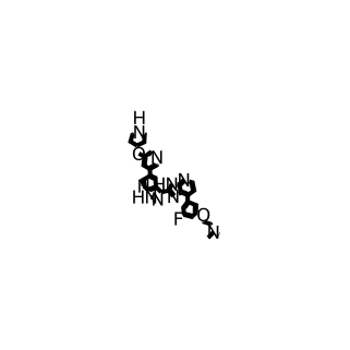 CN(C)CCOc1cc(F)cc(-c2ccnc3[nH]c(-c4n[nH]c5ncc(-c6cncc(OC7CCNCC7)c6)cc45)nc23)c1